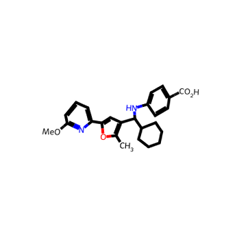 COc1cccc(-c2cc(C(Nc3ccc(C(=O)O)cc3)C3CCCCC3)c(C)o2)n1